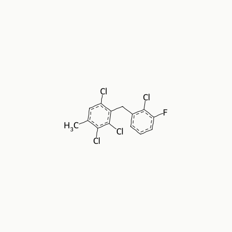 Cc1cc(Cl)c(Cc2cccc(F)c2Cl)c(Cl)c1Cl